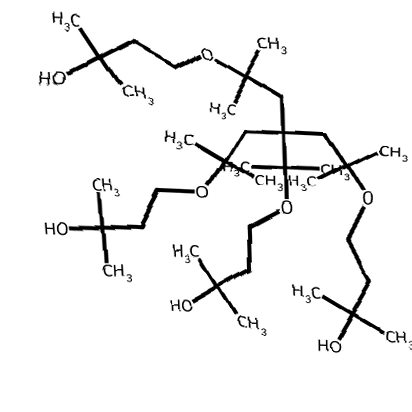 CC(C)(O)CCOC(C)(C)CC(CC(C)(C)OCCC(C)(C)O)(CC(C)(C)OCCC(C)(C)O)C(C)(C)OCCC(C)(C)O